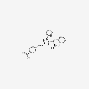 CCN(CC)C(=Cc1ccccc1)C1CC(C=Cc2ccc(N(CC)CC)cc2)=NN1c1ccccn1